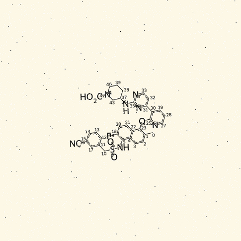 Cc1ccc2c(NS(=O)(=O)Cc3cccc(C#N)c3)c(F)ccc2c1Oc1ncccc1-c1ccnc(NC2CCCN(C(=O)O)C2)n1